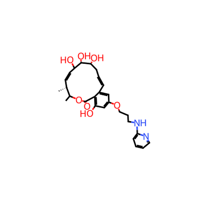 CC1OC(=O)c2c(O)cc(OCCCNc3ccccn3)cc2/C=C/C[C@H](O)[C@H](O)C(O)/C=C\[C@H]1C